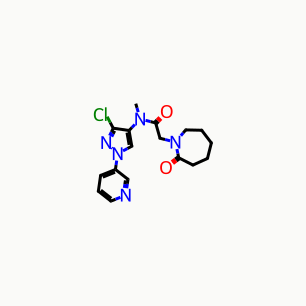 CN(C(=O)CN1CCCCCC1=O)c1cn(-c2cccnc2)nc1Cl